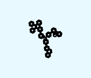 c1ccc(-c2c(-c3ccccc3)c3cc(-c4cccc(N(c5ccc(-c6ccc7c(ccc8ccccc87)c6)cc5)c5ccc(-c6cccc7c6oc6ccccc67)cc5)c4)ccc3c3ccccc23)cc1